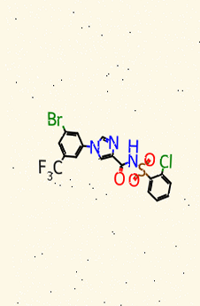 O=C(NS(=O)(=O)c1ccccc1Cl)c1cn(-c2cc(Br)cc(C(F)(F)F)c2)cn1